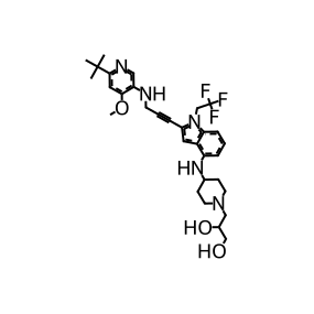 COc1cc(C(C)(C)C)ncc1NCC#Cc1cc2c(NC3CCN(CC(O)CO)CC3)cccc2n1CC(F)(F)F